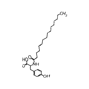 CCCCCCCCCCCCCCCC(=O)NC(Cc1ccc(O)cc1)C(=O)O